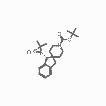 CC(C)(C)OC(=O)N1CCC2(CC1)Cc1ccccc1[C@@H]2N1[S+]([O-])C1(C)C